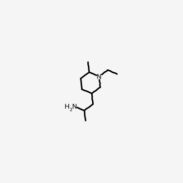 CCN1CC(CC(C)N)CCC1C